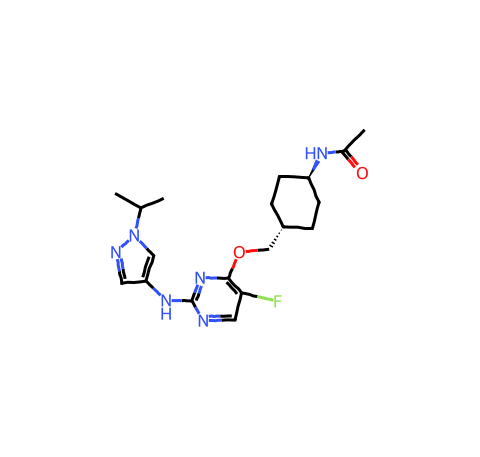 CC(=O)N[C@H]1CC[C@H](COc2nc(Nc3cnn(C(C)C)c3)ncc2F)CC1